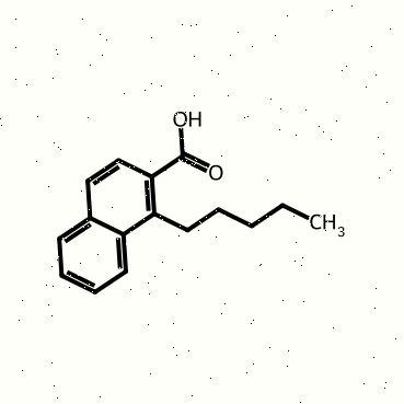 CCCCCc1c(C(=O)O)ccc2ccccc12